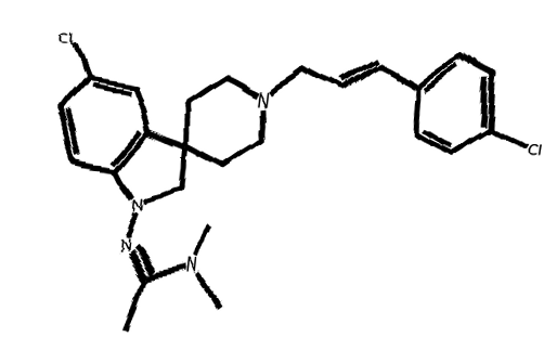 C/C(=N/N1CC2(CCN(C/C=C/c3ccc(Cl)cc3)CC2)c2cc(Cl)ccc21)N(C)C